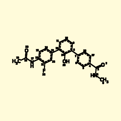 CNC(=O)c1ccc(-c2cccc(-c3ccc(NC(C)=O)c(F)c3)c2O)cc1